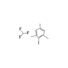 Cc1cc(C)c(I)c(C)c1.FC(F)F